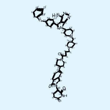 Nc1ncnc2c1c(-c1ccc(Oc3ccccc3)cc1)nn2C1CCN(CC2CCN(C/C=C/C(=O)N3CCC(c4ccc5c(c4)CN(C4CCC(=O)NC4=O)C5=O)CC3)CC2)CC1